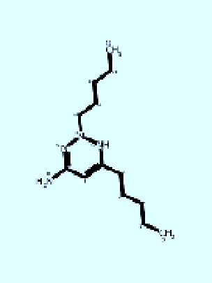 CCCCCC1=CC(N)=NN(CCCCC)N1